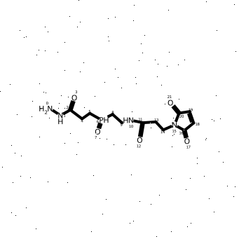 NNC(=O)CC[PH](=O)CCNC(=O)CCN1C(=O)C=CC1=O